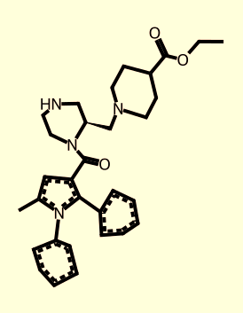 CCOC(=O)C1CCN(C[C@@H]2CNCCN2C(=O)c2cc(C)n(-c3ccccc3)c2-c2ccccc2)CC1